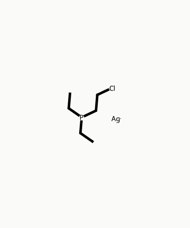 CCP(CC)CCCl.[Ag]